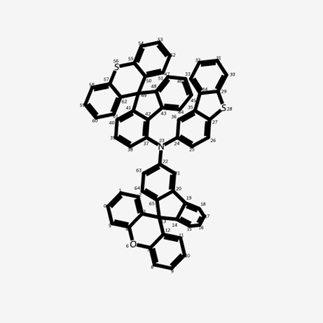 c1ccc2c(c1)Oc1ccccc1C21c2ccccc2-c2cc(N(c3ccc4sc5ccccc5c4c3)c3cccc4c3-c3ccccc3C43c4ccccc4Sc4ccccc43)ccc21